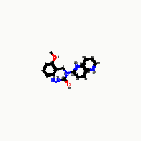 COc1ccccc1CN(C(N)=O)c1ccc2ncccc2n1